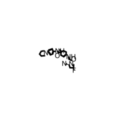 CC1(C(=O)Nc2ccc(N3CCCCC3)cc2)CC=C(NCC(=O)N2C[C@@H](F)C[C@H]2C#N)CC1